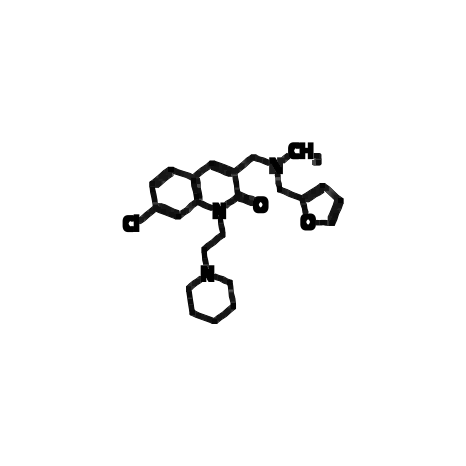 CN(Cc1ccco1)Cc1cc2ccc(Cl)cc2n(CCN2CCCCC2)c1=O